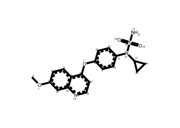 COc1ccc2c(Oc3ccc(N(C4CC4)S(N)(=O)=O)cc3)ccnc2c1